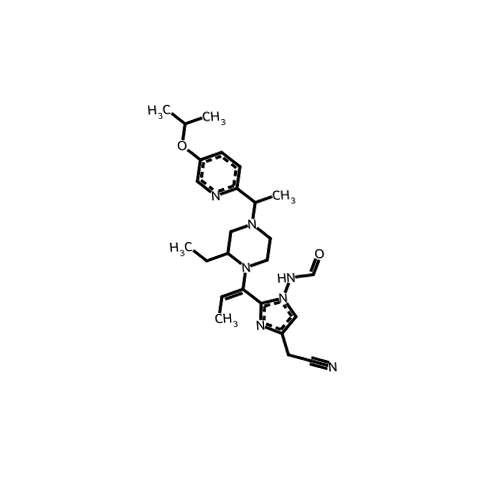 C/C=C(\c1nc(CC#N)cn1NC=O)N1CCN(C(C)c2ccc(OC(C)C)cn2)CC1CC